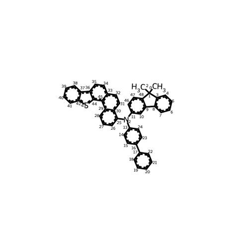 CC1(C)c2ccccc2-c2cc(N(c3ccc(-c4ccccc4)cc3)c3cccc4c3ccc3ccc5c6ccccc6sc5c34)ccc21